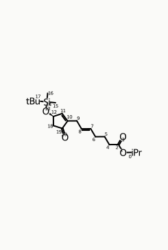 CC(C)OC(=O)CCC/C=C/CC1=C[C@H](O[Si](C)(C)C(C)(C)C)CC1=O